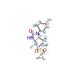 O=c1[nH]c2c(F)c(S(=O)(=O)C3CC3)c(F)c(F)c2n1-c1ccc(I)cc1F